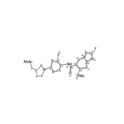 CNCC1CCN(c2ccc(NC(=O)c3cn4cc(C)nc4cc3OC)c(F)c2)C1